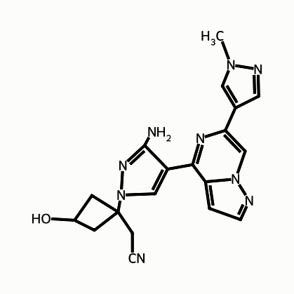 Cn1cc(-c2cn3nccc3c(-c3cn(C4(CC#N)CC(O)C4)nc3N)n2)cn1